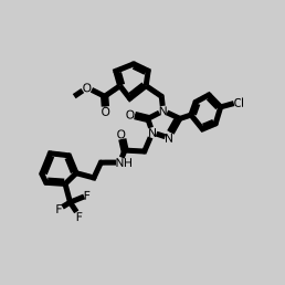 COC(=O)c1cccc(Cn2c(-c3ccc(Cl)cc3)nn(CC(=O)NCCc3ccccc3C(F)(F)F)c2=O)c1